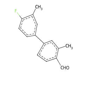 Cc1cc(-c2ccc(C=O)c(C)c2)ccc1F